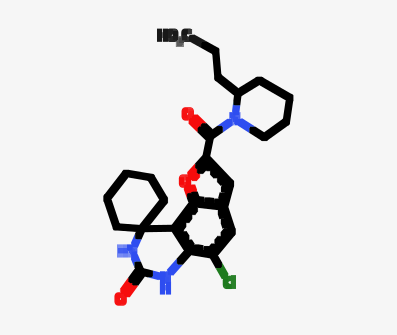 O=C(O)CCC1CCCCN1C(=O)c1cc2cc(Cl)c3c(c2o1)C1(CCCCC1)NC(=O)N3